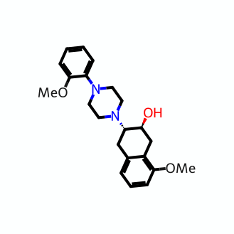 COc1ccccc1N1CCN([C@H]2Cc3cccc(OC)c3C[C@@H]2O)CC1